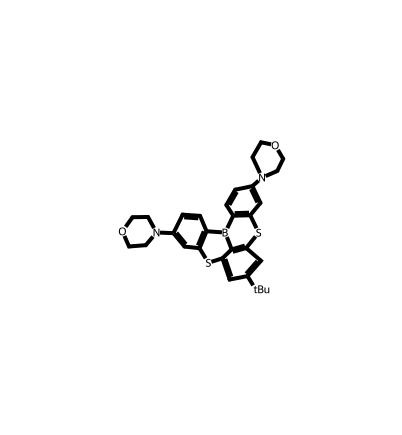 CC(C)(C)c1cc2c3c(c1)Sc1cc(N4CCOCC4)ccc1B3c1ccc(N3CCOCC3)cc1S2